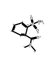 CN(C)C(=O)c1ccccc1S(N)(=O)=O